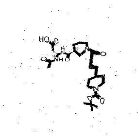 CC(=O)N[C@H](CC(=O)O)NC(=O)[C@H]1CCCN(C(=O)CCC2CCN(C(=O)OC(C)(C)C)CC2)C1